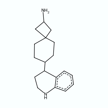 NC1CC2(CCC(C3CCNc4ccccc43)CC2)C1